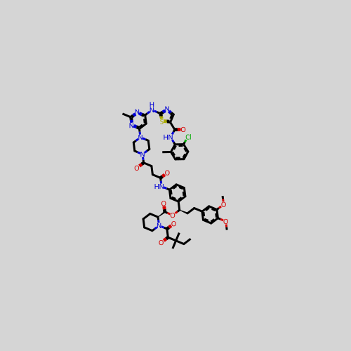 CCC(C)(C)C(=O)C(=O)N1CCCC[C@H]1C(=O)O[C@H](CCc1ccc(OC)c(OC)c1)c1cccc(NC(=O)CCC(=O)N2CCN(c3cc(Nc4ncc(C(=O)Nc5c(C)cccc5Cl)s4)nc(C)n3)CC2)c1